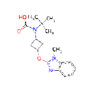 Cn1c(OC2CC(N(C(=O)O)C(C)(C)C)C2)nc2ccccc21